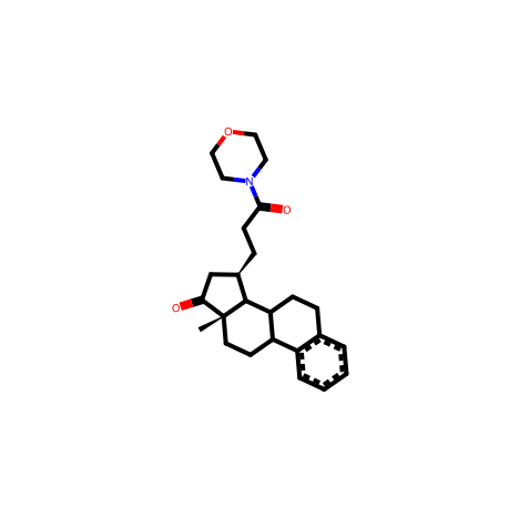 C[C@]12CCC3c4ccccc4CCC3C1[C@H](CCC(=O)N1CCOCC1)CC2=O